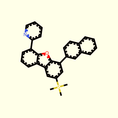 CS(C)(C)c1cc(-c2ccc3ccccc3c2)c2oc3c(-c4ccccn4)cccc3c2c1